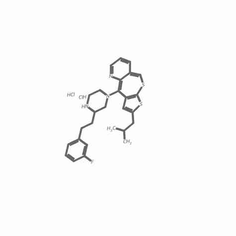 CC(C)Cc1cc2c(s1)SC=c1cccnc1=C2N1CCNC(CCc2cccc(F)c2)C1.Cl.Cl